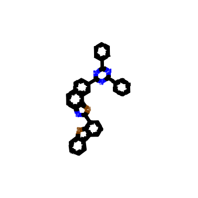 c1ccc(-c2nc(-c3ccccc3)nc(-c3ccc4ccc5nc(-c6cccc7c6sc6ccccc67)sc5c4c3)n2)cc1